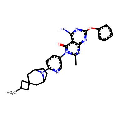 Cc1nc2nc(Oc3ccccc3)nc(N)c2c(=O)n1-c1ccc(N2C3CCC2CC2(CC(C(=O)O)C2)C3)nc1